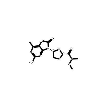 CON(C)C(=O)[C@H]1O[C@@H](n2c(=O)sc3c(C)nc(N)nc32)CS1